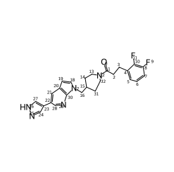 O=C(CCc1cccc(F)c1F)N1CCC(Cn2ccc3cc(-c4cn[nH]c4)cnc32)CC1